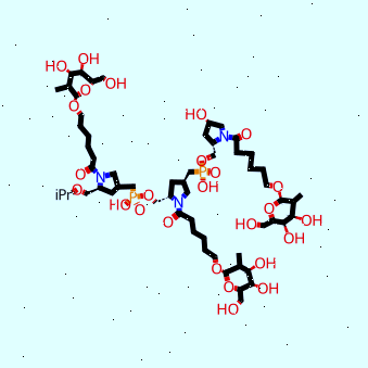 CC(C)OC[C@@H]1CC(CP(=O)(O)OC[C@@H]2C[C@@H](CP(=O)(O)OC[C@@H]3C[C@@H](O)CN3C(=O)CCCCCO[C@@H]3OC(CO)[C@H](O)[C@H](O)C3C)CN2C(=O)CCCCCO[C@@H]2OC(CO)[C@H](O)[C@H](O)C2C)CN1C(=O)CCCCCO[C@@H]1OC(CO)[C@H](O)[C@H](O)C1C